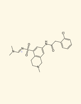 CN(C)/C=N/S(=O)(=O)c1cc(NC(=O)Cc2ccccc2Cl)cc2c1CCN(C)C2